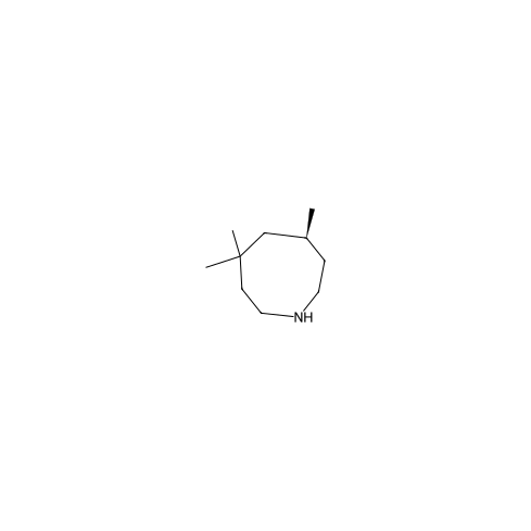 C[C@H]1CCNCCC(C)(C)C1